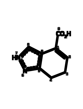 O=C(O)C1=CCCc2n[nH]cc21